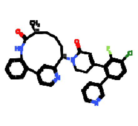 C[C@@H]1CCC[C@H](N2CCC(c3c(-c4cccnc4)ccc(Cl)c3F)=CC2=O)c2cc(ccn2)-c2ccccc2NC1=O